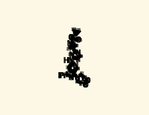 CC(C)n1nc(N2CCS(=O)(=O)CC2)c2cnc(Nc3ccnc(-c4cnn(S(=O)(=O)C5CC5)c4)n3)cc21